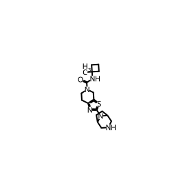 CC1(NC(=O)N2CCc3nc(N4C5CCC4CNC5)sc3C2)CCC1